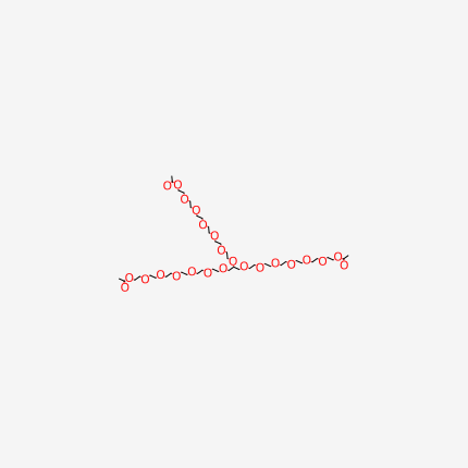 CC(=O)OCCOCCOCCOCCOCCOCCOCC(COCCOCCOCCOCCOCCOCCOC(C)=O)OCCOCCOCCOCCOCCOCCOC(C)=O